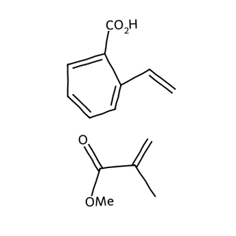 C=C(C)C(=O)OC.C=Cc1ccccc1C(=O)O